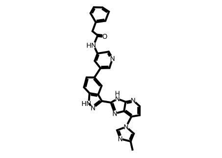 Cc1cn(-c2ccnc3[nH]c(-c4n[nH]c5ccc(-c6cncc(NC(=O)Cc7ccccc7)c6)cc45)nc23)cn1